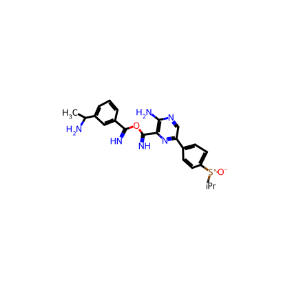 CC(N)c1cccc(C(=N)OC(=N)c2nc(-c3ccc([S+]([O-])C(C)C)cc3)cnc2N)c1